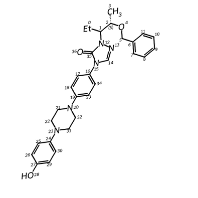 CCC([C@H](C)OCc1ccccc1)n1ncn(-c2ccc(N3CCN(c4ccc(O)cc4)CC3)cc2)c1=O